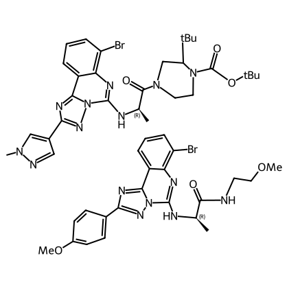 COCCNC(=O)[C@@H](C)Nc1nc2c(Br)cccc2c2nc(-c3ccc(OC)cc3)nn12.C[C@@H](Nc1nc2c(Br)cccc2c2nc(-c3cnn(C)c3)nn12)C(=O)N1CCN(C(=O)OC(C)(C)C)C(C(C)(C)C)C1